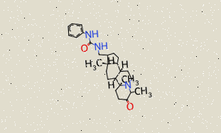 CC1C(=O)CC[C@]2(C)[C@@H]3CC[C@]4(C)C(CNC(=O)Nc5ccccc5)CC[C@H]4[C@@H]3CCN12